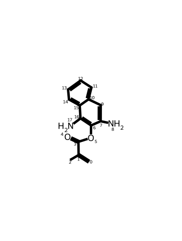 C=C(C)C(=O)Oc1c(N)cc2ccccc2c1N